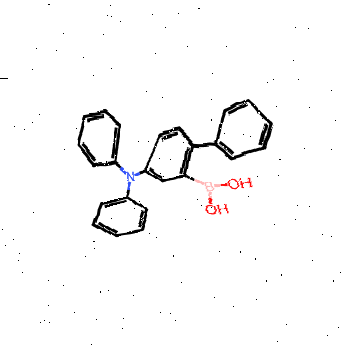 OB(O)c1cc(N(c2ccccc2)c2ccccc2)ccc1-c1ccccc1